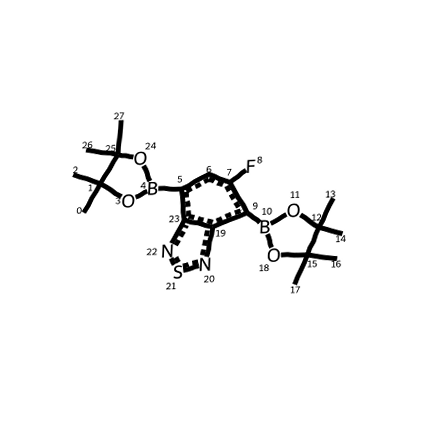 CC1(C)OB(c2cc(F)c(B3OC(C)(C)C(C)(C)O3)c3nsnc23)OC1(C)C